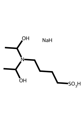 CC(O)N(CCCCS(=O)(=O)O)C(C)O.[NaH]